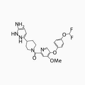 COc1cc(C(=O)N2CCC(C3=CC=C(N)NN3)CC2)ncc1Oc1ccc(OC(F)F)cc1